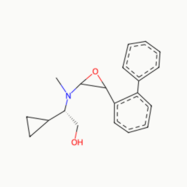 CN(C1OC1c1ccccc1-c1ccccc1)[C@H](CO)C1CC1